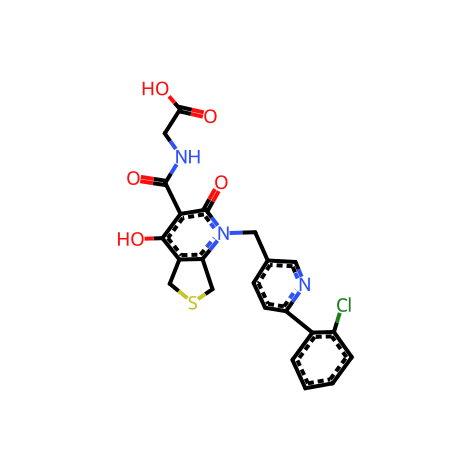 O=C(O)CNC(=O)c1c(O)c2c(n(Cc3ccc(-c4ccccc4Cl)nc3)c1=O)CSC2